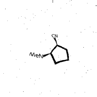 CN[C@@H]1CCC[C@@H]1C#N